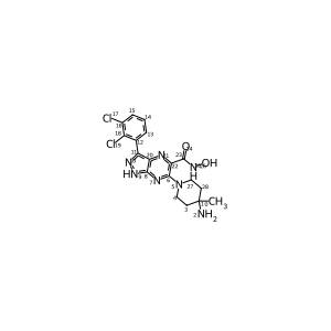 CC1(N)CCN(c2nc3[nH]nc(-c4cccc(Cl)c4Cl)c3nc2C(=O)NO)CC1